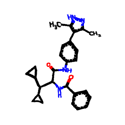 Cc1n[nH]c(C)c1-c1ccc(NC(=O)[C@@H](NC(=O)c2ccccc2)C(C2CC2)C2CC2)cc1